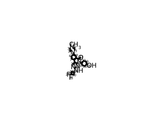 CN1CCN(c2ccc3c(c2)c(=O)n([C@H]2CC[C@H](O)CC2)c2nc(NC4CC(F)(F)C4)ncc32)CC1